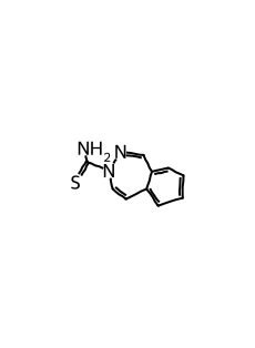 NC(=S)N1C=Cc2ccccc2C=N1